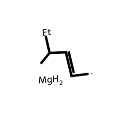 [CH2]C=CC(C)CC.[MgH2]